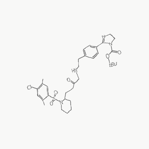 Cc1cc(S(=O)(=O)N2CCCCC2CCC(=O)CNCCc2ccc(C3=NCCN3C(=O)OC(C)(C)C)cc2)c(C)cc1Cl